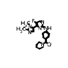 Cc1ncc(-c2nc(Nc3ccc(C(=O)N4CCCCC4)cc3)ncc2F)n1C